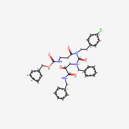 O=C(NCCC(=O)N(CCc1ccc(Cl)cc1)C(=O)N(CC(=O)C(=O)NCc1ccccc1)Cc1ccccc1)OCc1ccccc1